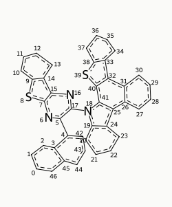 c1ccc2c(-c3nc4sc5ccccc5c4nc3-n3c4ccccc4c4c5ccccc5c5c6ccccc6sc5c43)cccc2c1